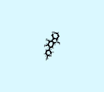 Cn1c2ccncc2c2c(F)c(F)c(-c3ccc(F)nc3)cc21